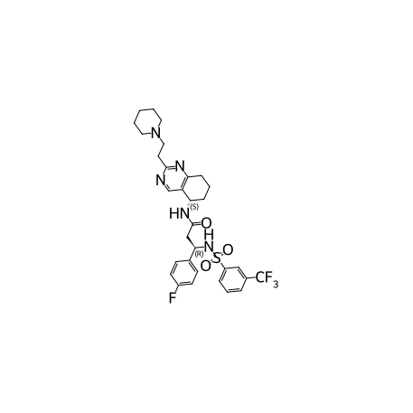 O=C(C[C@@H](NS(=O)(=O)c1cccc(C(F)(F)F)c1)c1ccc(F)cc1)N[C@H]1CCCc2nc(CCN3CCCCC3)ncc21